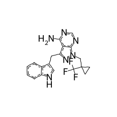 Nc1ncnc2c1c(Cc1c[nH]c3ccccc13)nn2CC1(C(F)(F)F)CC1